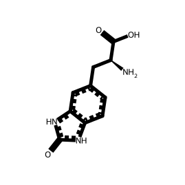 N[C@@H](Cc1ccc2[nH]c(=O)[nH]c2c1)C(=O)O